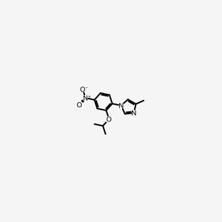 Cc1cn(-c2ccc([N+](=O)[O-])cc2OC(C)C)cn1